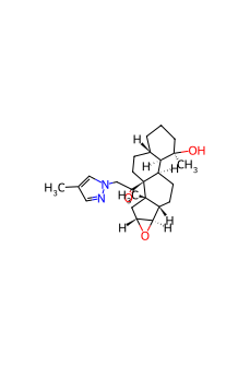 Cc1cnn(CC(=O)[C@@]23CC[C@@H]4CCC[C@@](C)(O)[C@H]4[C@H]2CC[C@@H]2[C@H]4O[C@@H]4C[C@@]23C)c1